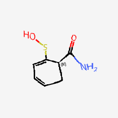 NC(=O)[C@H]1CC=CC=C1SO